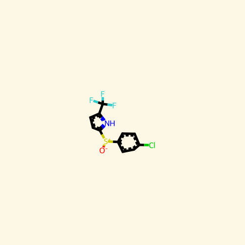 [O-][S+](c1ccc(Cl)cc1)c1ccc(C(F)(F)F)[nH]1